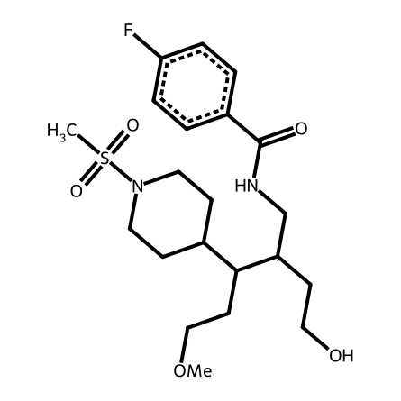 COCCC([C](CCO)CNC(=O)c1ccc(F)cc1)C1CCN(S(C)(=O)=O)CC1